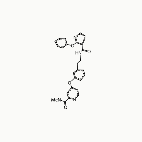 CNC(=O)c1cc(Oc2cccc(CCNC(=O)c3cccnc3Oc3ccccc3)c2)ccn1